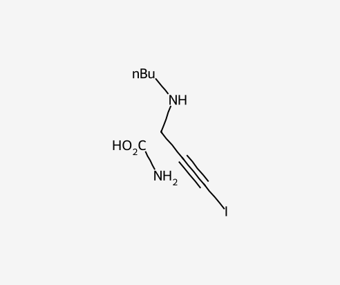 CCCCNCC#CI.NC(=O)O